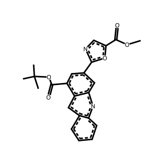 COC(=O)c1cnc(-c2cc(C(=O)OC(C)(C)C)c3cc4ccccc4nc3c2)o1